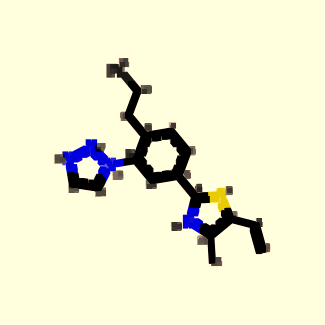 C=Cc1sc(-c2ccc(CCC(C)C)c(-n3ccnn3)c2)nc1C